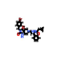 O=C(CC1CC1)N[C@@H](CCN1CCC2(CC1)NC(=O)N(Cc1ccc(Br)cc1)C2=O)c1ccccc1